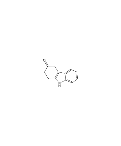 O=C1CSc2[nH]c3ccccc3c2C1